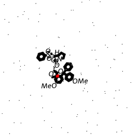 COc1ccc(C(O[C@H]2CCO[C@@H]2CO[P@]2O[C@H](CS(=O)(=O)c3ccccc3)[C@@H]3CCCN32)(c2ccccc2)c2ccc(OC)cc2)cc1